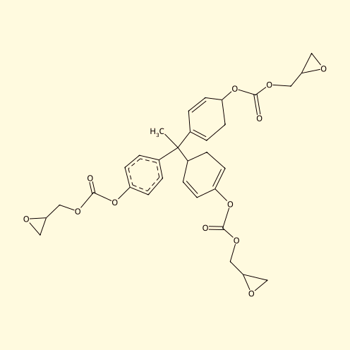 CC(C1=CCC(OC(=O)OCC2CO2)C=C1)(c1ccc(OC(=O)OCC2CO2)cc1)C1C=CC(OC(=O)OCC2CO2)=CC1